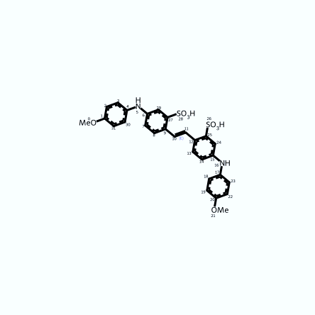 COc1ccc(Nc2ccc(/C=C/c3ccc(Nc4ccc(OC)cc4)cc3S(=O)(=O)O)c(S(=O)(=O)O)c2)cc1